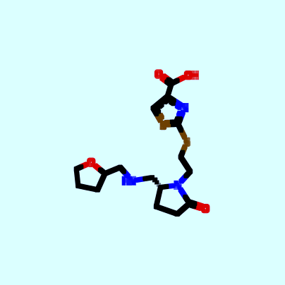 O=C(O)c1csc(SCCN2C(=O)CC[C@@H]2CNCC2CCCO2)n1